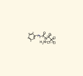 NN(C(=O)/C=C/c1ccccc1)C(=O)C(Cl)(Cl)Cl